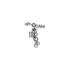 CCCc1ccc(OC)c(-c2csc(NC(=O)NN3CCCN(C(=O)CCl)CC3)n2)c1